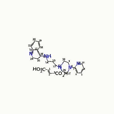 O=C(O)C=CC(=O)O.c1ccc(N2CCN(CCCNC3=c4ccccc4=NCC3)CC2)nc1